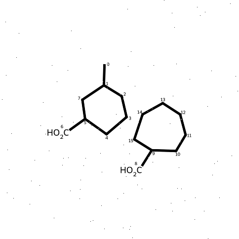 CC1CCCC(C(=O)O)C1.O=C(O)C1CCCCCC1